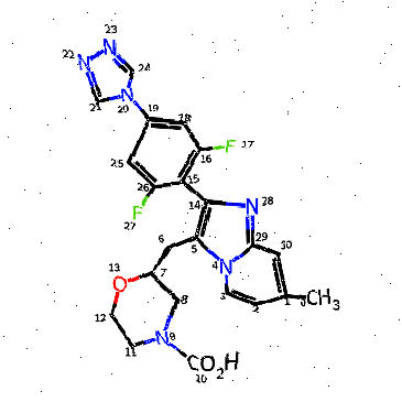 Cc1ccn2c(C[C@H]3CN(C(=O)O)CCO3)c(-c3c(F)cc(-n4cnnc4)cc3F)nc2c1